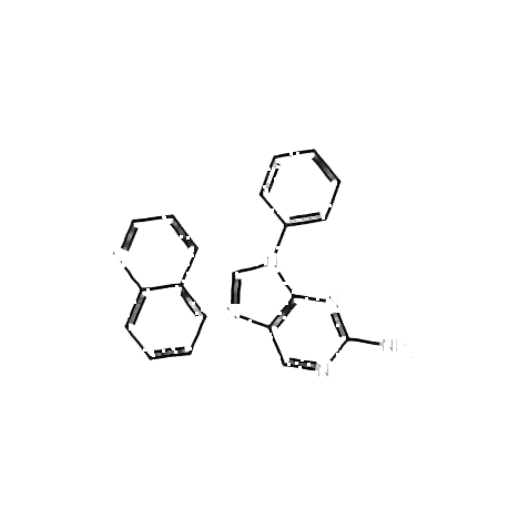 Nc1ncc2ncn(-c3ccccc3)c2n1.c1ccc2ncccc2c1